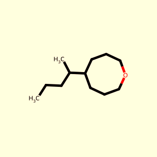 CCCC(C)C1CCCOCCC1